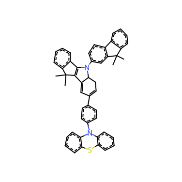 CC1(C)C2=C(c3ccccc31)N(c1ccc3c(c1)C(C)(C)c1ccccc1-3)C1CC=C(c3ccc(N4c5ccccc5Sc5ccccc54)cc3)C=C21